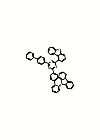 c1ccc(-c2ccc(-c3nc(-c4ccc(-c5ccccc5-n5c6ccccc6c6ccccc65)cc4)nc(-c4cccc5oc6ccccc6c45)n3)cc2)cc1